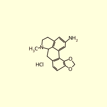 CN1CCc2cc(N)cc3c2C1Cc1ccc2c(c1-3)OCO2.Cl